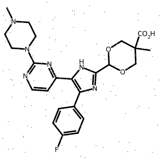 CN1CCN(c2nccc(-c3[nH]c(C4OCC(C)(C(=O)O)CO4)nc3-c3ccc(F)cc3)n2)CC1